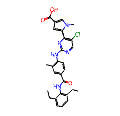 CCc1cccc(CC)c1NC(=O)c1ccc(Nc2ncc(Cl)c(-c3cc(C(=O)O)cn3C)n2)c(C)c1